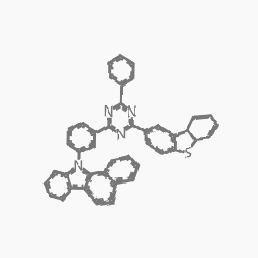 C1=CC2Sc3ccc(-c4nc(-c5ccccc5)nc(-c5cccc(-n6c7ccccc7c7ccc8ccccc8c76)c5)n4)cc3C2C=C1